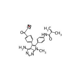 C=C(C)C(=O)Nc1ccc(-c2c(-c3ccc(C(=O)N4CC5CC4C5)cc3)c3c(N)ncnc3n2C)cc1